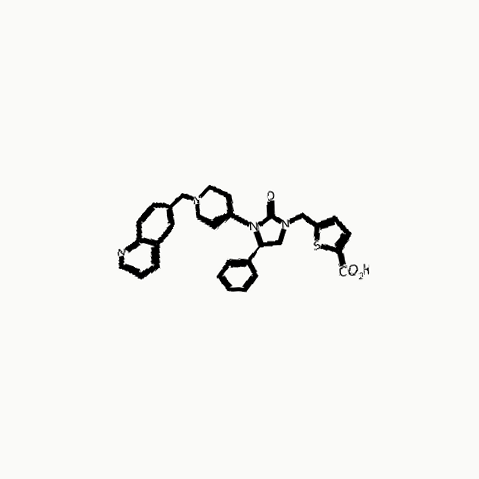 O=C(O)c1ccc(CN2C[C@@H](c3ccccc3)N(C3CCN(Cc4ccc5ncccc5c4)CC3)C2=O)s1